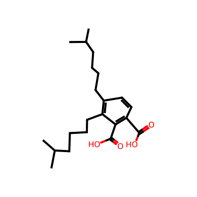 CC(C)CCCCc1ccc(C(=O)O)c(C(=O)O)c1CCCCC(C)C